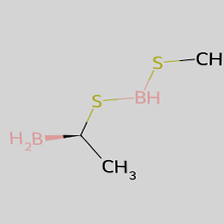 B[C@H](C)SBSC